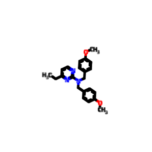 CCc1ccnc(N(Cc2ccc(OC)cc2)Cc2ccc(OC)cc2)n1